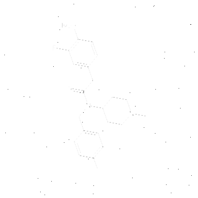 CC(C)COc1ccc(CC(=O)N(Cc2ccc(F)cc2)C2CCN(C)CC2)cc1F